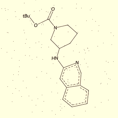 CC(C)(C)OC(=O)N1CCCC(Nc2cc3ccccc3cn2)C1